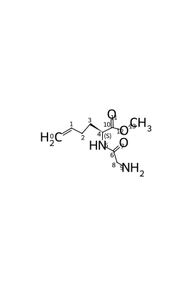 C=CCC[C@H](NC(=O)CN)C(=O)OC